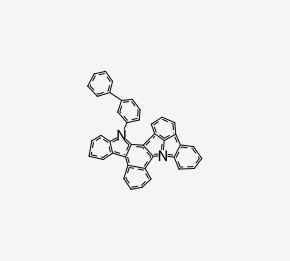 c1ccc(-c2cccc(-n3c4ccccc4c4c5ccccc5c5c(c6cccc7c8ccccc8n5c76)c43)c2)cc1